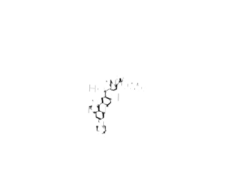 COC(=O)c1ccc(C(O)c2cc(-c3ncnc4cc(N5CCOCC5)ccc34)c(F)cc2Cl)nn1